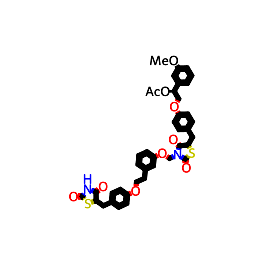 COc1cccc([C@@H](COc2ccc(CC3SC(=O)N(COc4cccc(CCOc5ccc(CC6SC(=O)NC6=O)cc5)c4)C3=O)cc2)OC(C)=O)c1